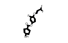 CCCc1ccc(C(=O)Oc2ccc(O/C=C/C(F)F)c(F)c2)cc1